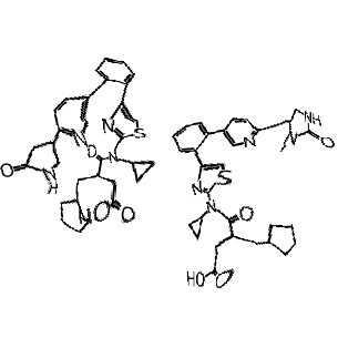 CN1C(=O)NCC1c1ccc(-c2ccccc2-c2csc(N(C(=O)C(CC(=O)O)CC3CCCC3)C3CC3)n2)cn1.O=C(O)C[C@@H](CC1CCCC1)C(=O)N(c1nc(-c2ccccc2-c2ccc(C3CNC(=O)C3)nc2)cs1)C1CC1